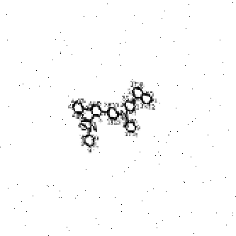 c1ccc(-c2nc3c4cc(-c5ccc(N(c6ccccc6)c6ccc(-c7cccc8ccccc78)cc6)cc5)ccc4c4ccccc4c3s2)cc1